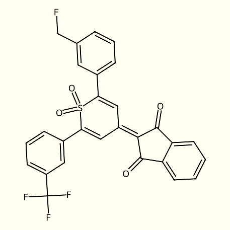 O=C1C(=C2C=C(c3cccc(CF)c3)S(=O)(=O)C(c3cccc(C(F)(F)F)c3)=C2)C(=O)c2ccccc21